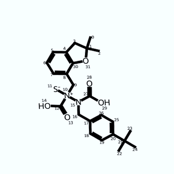 CC1(C)Cc2cccc(C[N+]([S-])(C(=O)O)N(Cc3ccc(C(C)(C)C)cc3)C(=O)O)c2O1